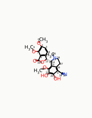 COc1ccc2c(c1OC)C(=O)OC2[C@H]1c2c(c(C#N)c(O)c(O)c2OC)CCN1C